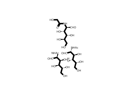 CC(=O)N[C@@H](C=O)[C@@H](O)[C@@H](O)[C@H](O)CO.CC(=O)N[C@H](C=O)[C@@H](O)[C@H](O)[C@H](O)CO.O=C[C@H](NC(=O)CO)[C@@H](O)[C@H](O)[C@H](O)CO